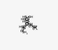 BC(=O)COP(=O)(O)OCc1ccc(O[C@@H]2O[C@H](CO)[C@H](O)[C@H](O)[C@H]2O)c(NC(=O)CCNC(=O)C(C)C)c1